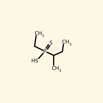 CCC(C)P(=S)(S)CC